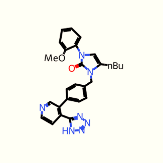 CCCCc1cn(-c2ccccc2OC)c(=O)n1Cc1ccc(-c2cnccc2-c2nnn[nH]2)cc1